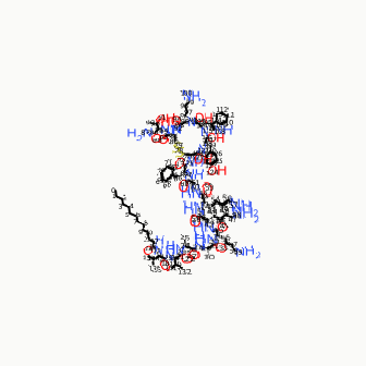 CCCCCCCCCCCCCC(=O)N[C@H](C(=O)N[C@H](C(=O)N[C@@H](C)C(=O)N[C@@H](C)C(=O)N[C@@H](CCCCN)C(=O)N[C@@H](CCCCN)C(=O)N[C@@H](CCCCN)C(=O)NCC(=O)N[C@H](Cc1ccccc1)C(=O)N[C@H]1CSSC[C@@H](C(=O)N[C@H](C(N)=O)[C@@H](C)O)N=C(O)[C@H](CCCCN)N=C(O)[C@@H](Cc2c[nH]c3ccccc23)N=C(O)[C@H](Cc2ccc(O)cc2)N=C1O)C(C)C)C(C)C